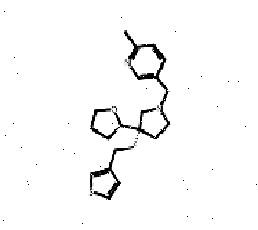 Cc1ccc(CN2CC[C@@](CCc3ccsc3)([C@H]3CCCO3)C2)cn1